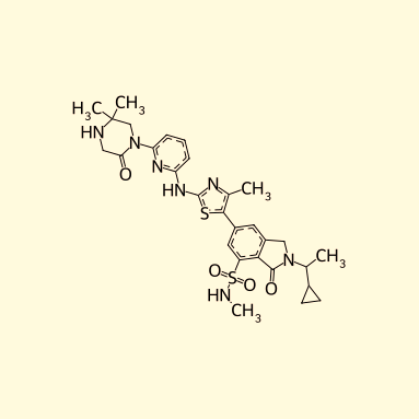 CNS(=O)(=O)c1cc(-c2sc(Nc3cccc(N4CC(C)(C)NCC4=O)n3)nc2C)cc2c1C(=O)N(C(C)C1CC1)C2